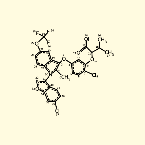 Cc1c(Oc2ccc(Cl)c(OC(C(=O)O)C(C)C)c2)c2cc(OC(F)(F)F)ccc2n1-c1noc2cc(Cl)ccc12